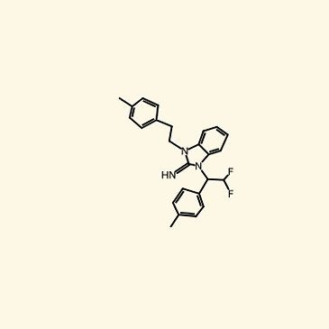 Cc1ccc(CCn2c(=N)n(C(c3ccc(C)cc3)C(F)F)c3ccccc32)cc1